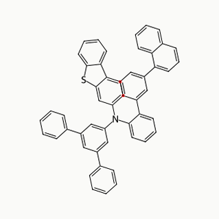 c1ccc(-c2cc(-c3ccccc3)cc(N(c3ccc4c(c3)sc3ccccc34)c3ccccc3-c3cccc(-c4cccc5ccccc45)c3)c2)cc1